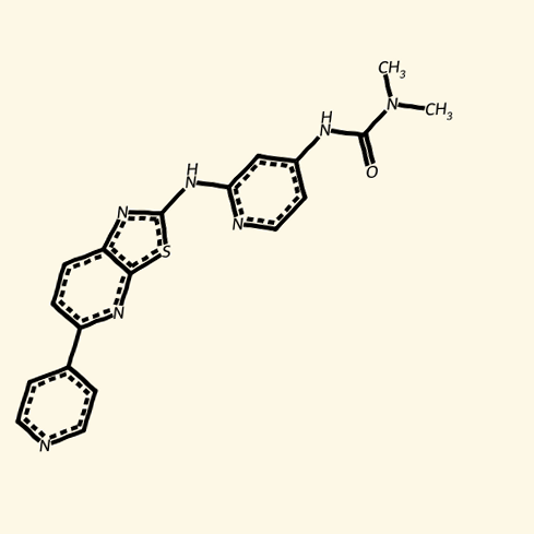 CN(C)C(=O)Nc1ccnc(Nc2nc3ccc(-c4ccncc4)nc3s2)c1